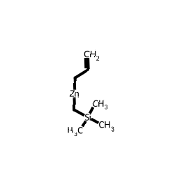 C=C[CH2][Zn][CH2][Si](C)(C)C